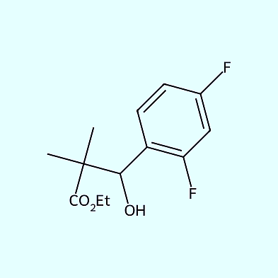 CCOC(=O)C(C)(C)C(O)c1ccc(F)cc1F